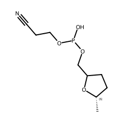 C[C@H]1CCC(COP(O)OCCC#N)O1